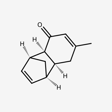 CC1=CC(=O)[C@H]2[C@@H](C1)[C@H]1C=C[C@@H]2C1